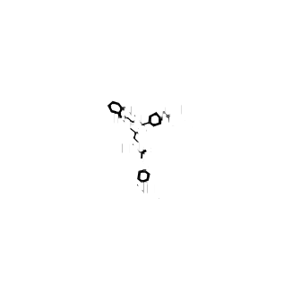 CN(C)c1ccc(C(=O)N[C@@H](CCCCNC(=O)CSc2ccc(N)cc2)c2nc3ccccc3[nH]2)cc1